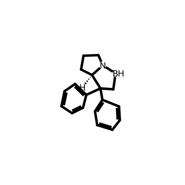 B1CC(c2ccccc2)(c2ccccc2)[C@H]2CCCN12